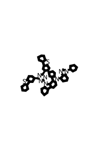 c1ccc(-n2cnc3c(-n4c5ccccc5c5c4ccc4c6ccccc6n(-c6nc(-c7ccc8sc9ccccc9c8c7)nc(-c7ccc8sc9ccccc9c8c7)n6)c45)cccc32)cc1